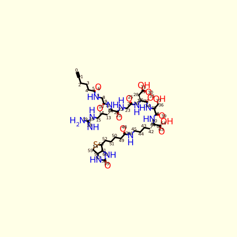 C#CCCCC(=O)NCC(=O)N[C@@H](CCCNC(=N)N)C(=O)NCC(=O)N[C@@H](CC(=O)O)C(=O)NC(CO)C(=O)N[C@@H](CCCCNC(=O)CCCCC1SCC2NC(=O)NC21)C(=O)O